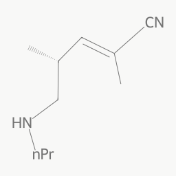 CCCNC[C@H](C)/C=C(\C)C#N